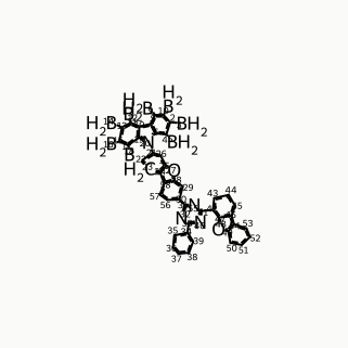 Bc1c(B)c(B)c2c(c1B)c1c(B)c(B)c(B)c(B)c1n2-c1ccc2c(c1)oc1cc(-c3nc(-c4ccccc4)nc(-c4cccc5c4oc4ccccc45)n3)ccc12